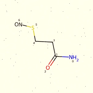 NC(=O)CCSN=O